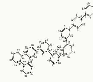 c1ccc(-c2ccc(-c3cccc(-c4cccc5c4sc4c(-c6cccc(-c7ccc8c9ccccc9c9ccccc9c8c7)c6)cccc45)c3)cc2)cc1